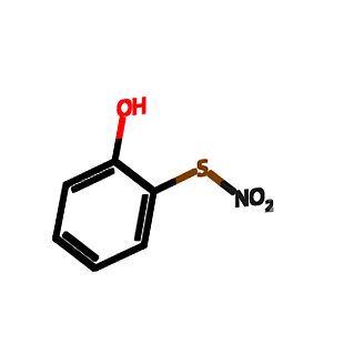 O=[N+]([O-])Sc1ccccc1O